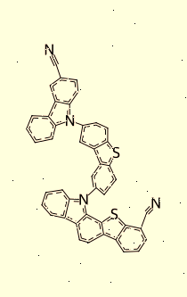 N#Cc1ccc2c(c1)c1ccccc1n2-c1ccc2sc3ccc(-n4c5ccccc5c5ccc6c7cccc(C#N)c7sc6c54)cc3c2c1